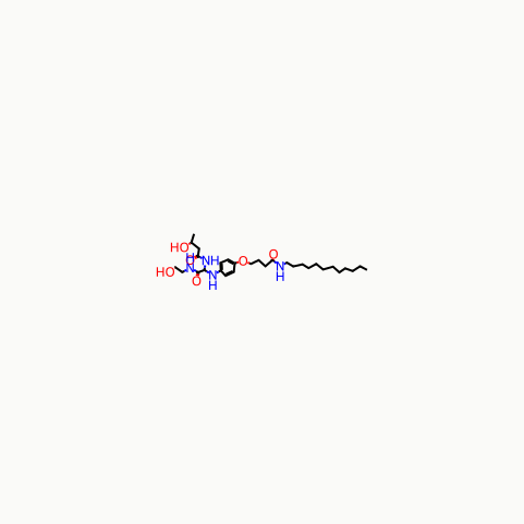 CCCCCCCCCCCCNC(=O)CCCOc1ccc(NC(NC(=O)CC(C)O)C(=O)NCCO)cc1